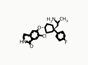 CC(N)C[C@]1(c2ccc(F)cc2)CC[C@@H](Oc2cc3cc[nH]c(=O)c3cc2Cl)CC1